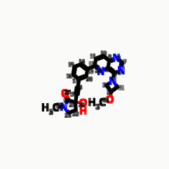 COC1CN(c2ncnc3ccc(-c4cccc(C#C[C@]5(O)CCN(C)C5=O)c4)nc23)C1